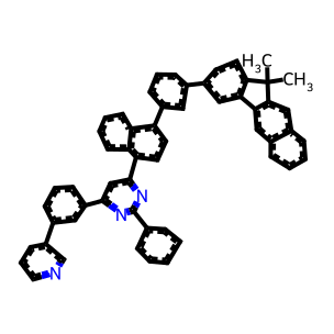 CC1(C)c2ccc(-c3cccc(-c4ccc(-c5cc(-c6cccc(-c7cccnc7)c6)nc(-c6ccccc6)n5)c5ccccc45)c3)cc2-c2cc3ccccc3cc21